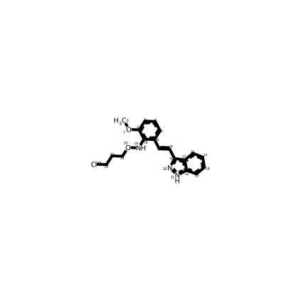 COc1cccc(C=Cc2n[nH]c3ccccc23)c1NOCCCCl